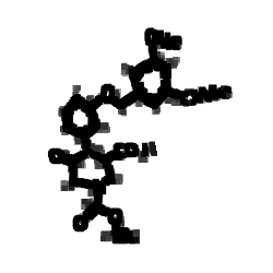 COc1cc(COc2cccc(N3C(=O)CN(C(=O)OC(C)(C)C)CC3C(=O)O)c2)cc(OC)c1